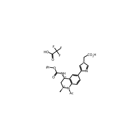 CC(=O)N1c2ccc(-c3cn(CC(=O)O)cn3)cc2[C@H](NC(=O)OC(C)C)C[C@@H]1C.O=C(O)C(F)(F)F